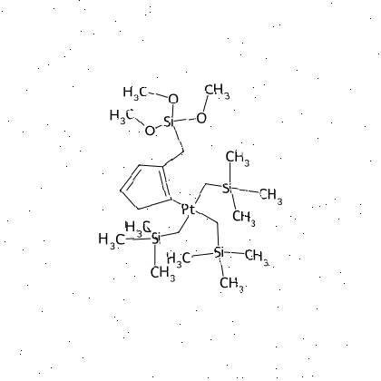 CO[Si](CC1=[C]([Pt]([CH2][Si](C)(C)C)([CH2][Si](C)(C)C)[CH2][Si](C)(C)C)CC=C1)(OC)OC